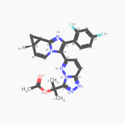 CC(=O)OC(C)(C)c1nnc2ccc(-c3c(-c4ccc(F)cc4F)nc4n3C=C[C@@H]3CC43)nn12